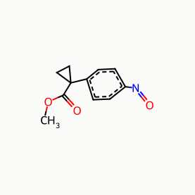 COC(=O)C1(c2ccc(N=O)cc2)CC1